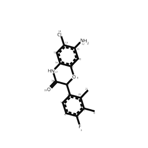 Cc1c(F)ccc(C2Oc3cc(N)c(Cl)cc3NC2=O)c1C